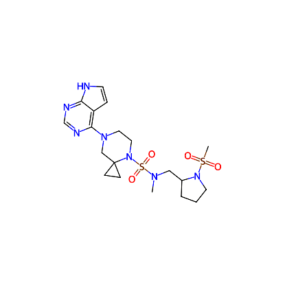 CN(CC1CCCN1S(C)(=O)=O)S(=O)(=O)N1CCN(c2ncnc3[nH]ccc23)CC12CC2